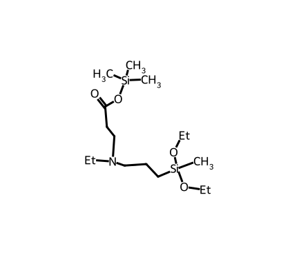 CCO[Si](C)(CCCN(CC)CCC(=O)O[Si](C)(C)C)OCC